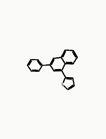 c1ccc(-c2cc(-c3cccs3)c3ccccc3c2)cc1